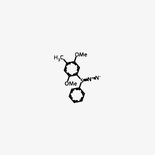 COc1cc(S(=[N+]=[N-])c2ccccc2)c(OC)cc1C